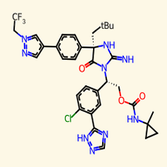 CC(C)(C)C[C@]1(c2ccc(-c3cnn(CC(F)(F)F)c3)cc2)NC(=N)N([C@H](COC(=O)NC2(C)CC2)c2ccc(Cl)c(-c3ncn[nH]3)c2)C1=O